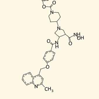 Cc1cc(COc2ccc(C(=O)NC3CN(C4CCN(C(=O)OC(C)(C)C)CC4)CC3C(=O)NO)cc2)c2ccccc2n1